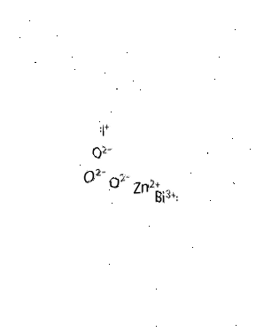 [Bi+3].[I+].[O-2].[O-2].[O-2].[Zn+2]